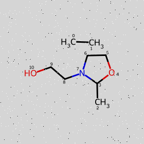 CC.CC1OCCN1CCO